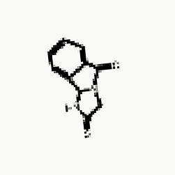 O=C1c2ccccc2C2NC(=S)CN12